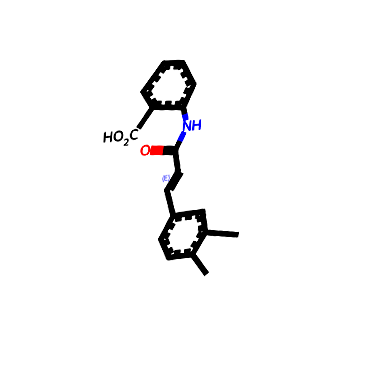 Cc1ccc(/C=C/C(=O)Nc2ccccc2C(=O)O)cc1C